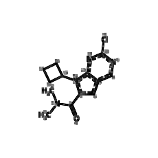 CN(C)C(=O)c1cc2cnc(Cl)nc2n1C1CCC1